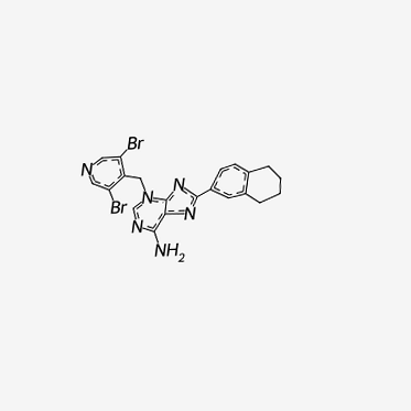 Nc1ncn(Cc2c(Br)cncc2Br)c2nc(-c3ccc4c(c3)CCCC4)nc1-2